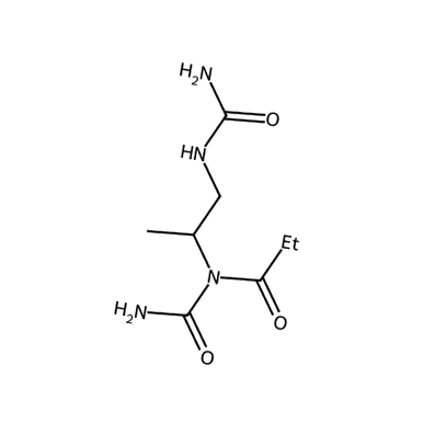 CCC(=O)N(C(N)=O)C(C)CNC(N)=O